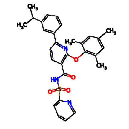 Cc1cc(C)c(Oc2nc(-c3cccc(C(C)C)c3)ccc2C(=O)NS(=O)(=O)c2ccccn2)c(C)c1